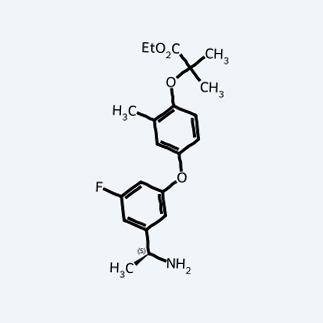 CCOC(=O)C(C)(C)Oc1ccc(Oc2cc(F)cc([C@H](C)N)c2)cc1C